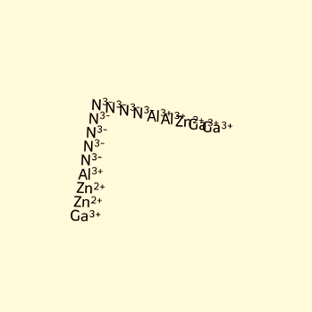 [Al+3].[Al+3].[Al+3].[Ga+3].[Ga+3].[Ga+3].[N-3].[N-3].[N-3].[N-3].[N-3].[N-3].[N-3].[N-3].[Zn+2].[Zn+2].[Zn+2]